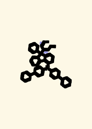 C=C/C=C(\C=C/C)C1(c2ccccc2)c2ccccc2-c2c(N(c3ccc(-c4ccccc4)cc3)c3ccc(-c4ccccc4)cc3)cccc21